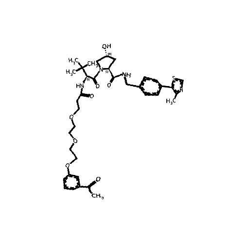 CC(=O)c1cccc(OCCOCCOCCC(=O)N[C@H](C(=O)N2C[C@H](O)C[C@H]2C(=O)NCc2ccc(-c3scnc3C)cc2)C(C)(C)C)c1